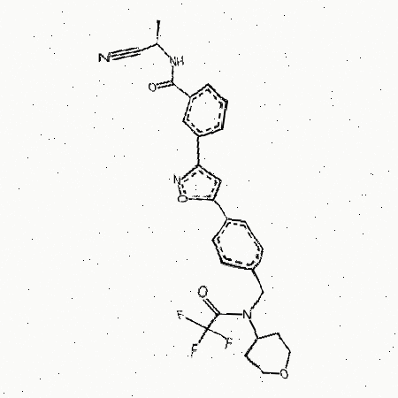 C[C@H](C#N)NC(=O)c1cccc(-c2cc(-c3ccc(CN(C(=O)C(F)(F)F)C4CCOCC4)cc3)on2)c1